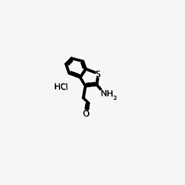 Cl.Nc1sc2ccccc2c1CC=O